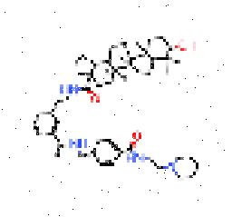 C=C(NCC1C=CC(C(=O)NCCN2CCCCC2)=CC1)C1=CC(CCNC(=O)C23CCCC2C2CCC4C5(C)CCC(O)C(C)(C)C5CCC4(C)[C@]2(C)CC3)CC=C1